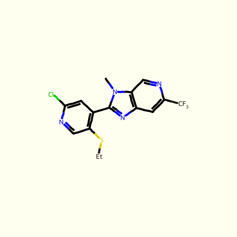 CCSc1cnc(Cl)cc1-c1nc2cc(C(F)(F)F)ncc2n1C